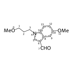 COCCCn1cc(C=O)c2cc(OC)ccc21